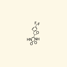 O=c1[nH]cc(C2COc3cc(C(F)F)ccc3C2)[nH]c1=O